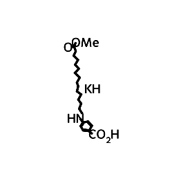 COC(=O)CCCCCCCCCCCCCCCNc1ccc(C(=O)O)cc1.[KH]